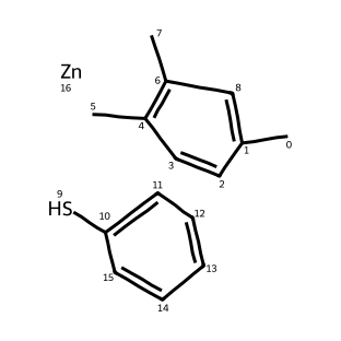 Cc1ccc(C)c(C)c1.Sc1ccccc1.[Zn]